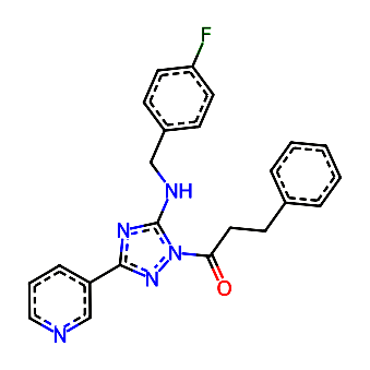 O=C(CCc1ccccc1)n1nc(-c2cccnc2)nc1NCc1ccc(F)cc1